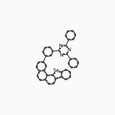 c1ccc(-c2nc(-c3ccccc3)nc(-c3cccc(-c4ccc5ccc6ccc7c8ccccc8[se]c7c6c5c4)c3)n2)cc1